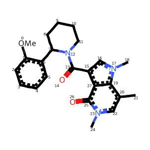 COc1ccccc1C1CCCCN1C(=O)c1cn(C)c2c(C)cn(C)c(=O)c12